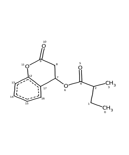 CCC(C)C(=O)OC1CC(=O)Oc2ccccc21